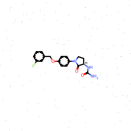 NC(=O)N[C@@H]1CCN(c2ccc(OCc3cccc(F)c3)cc2)C1=O